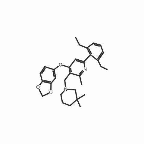 CCc1cccc(CC)c1-c1cc(Oc2ccc3c(c2)OCO3)c(CN2CCCC(C)(C)C2)c(C)n1